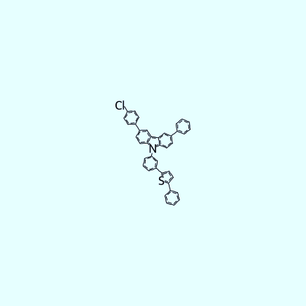 Clc1ccc(-c2ccc3c(c2)c2cc(-c4ccccc4)ccc2n3-c2cccc(-c3ccc(-c4ccccc4)s3)c2)cc1